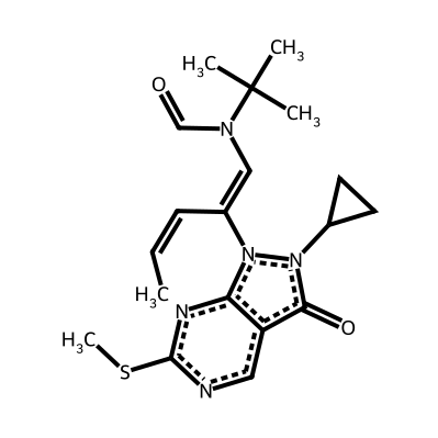 C/C=C\C(=C/N(C=O)C(C)(C)C)n1c2nc(SC)ncc2c(=O)n1C1CC1